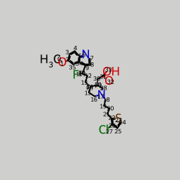 COc1ccc2nccc([C@H](F)CC[C@@H]3CCN(CCCCc4sccc4Cl)C[C@@H]3CC(=O)O)c2c1